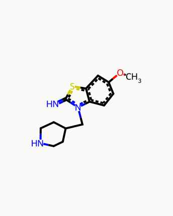 COc1ccc2c(c1)sc(=N)n2CC1CCNCC1